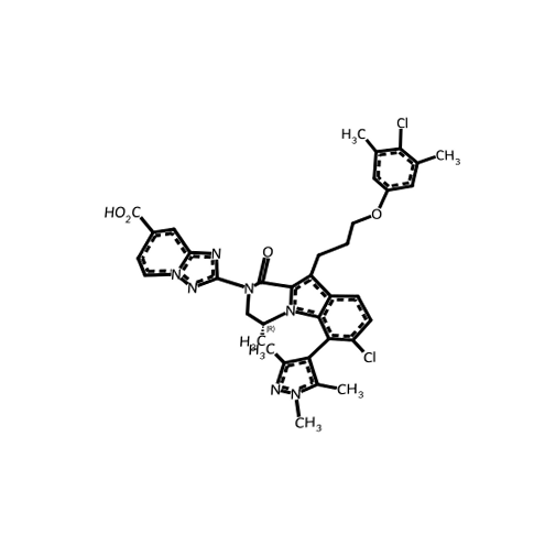 Cc1cc(OCCCc2c3n(c4c(-c5c(C)nn(C)c5C)c(Cl)ccc24)[C@H](C)CN(c2nc4cc(C(=O)O)ccn4n2)C3=O)cc(C)c1Cl